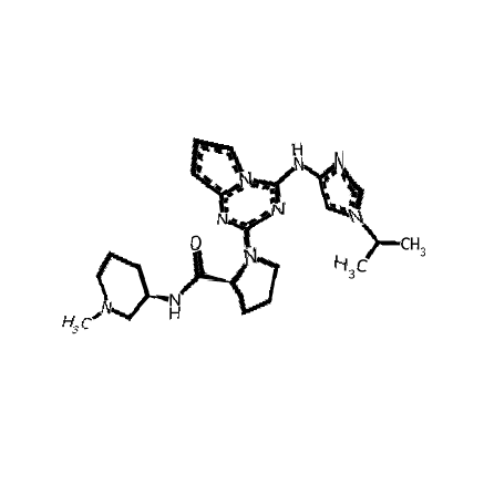 CC(C)n1cnc(Nc2nc(N3CCC[C@H]3C(=O)N[C@@H]3CCCN(C)C3)nc3cccn23)c1